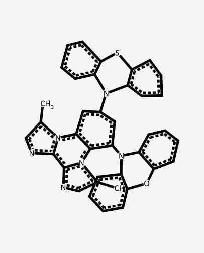 Cc1cnc2c3ncc(C)n3c3c(N4c5ccccc5Oc5ccccc54)cc(N4c5ccccc5Sc5ccccc54)cc3n12